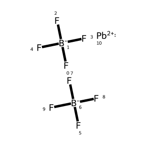 F[B-](F)(F)F.F[B-](F)(F)F.[Pb+2]